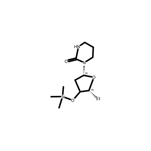 CC[C@H]1O[C@@H](N2CCCNC2=O)CC1O[Si](C)(C)C